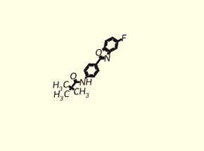 CC(C)(C)C(=O)Nc1ccc(-c2nc3cc(F)ccc3o2)cc1